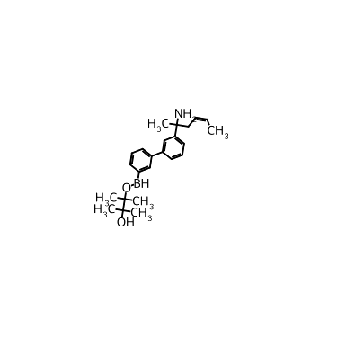 C/C=C\CC(C)(N)c1cccc(-c2cccc(BOC(C)(C)C(C)(C)O)c2)c1